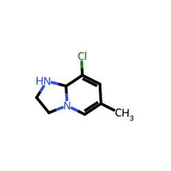 CC1=CN2CCNC2C(Cl)=C1